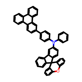 c1ccc(N(c2ccc(-c3ccc4c5ccccc5c5ccccc5c4c3)cc2)c2ccc3c(c2)-c2ccccc2C32c3ccccc3Oc3ccccc32)cc1